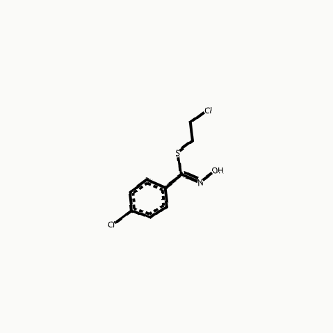 O/N=C(\SCCCl)c1ccc(Cl)cc1